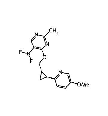 COc1ccc([C@H]2C[C@@H]2COc2nc(C)ncc2B(F)F)nc1